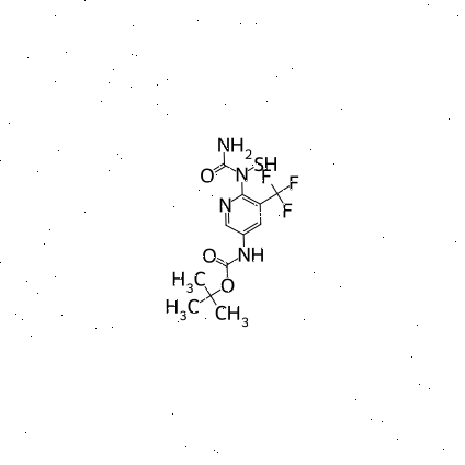 CC(C)(C)OC(=O)Nc1cnc(N(S)C(N)=O)c(C(F)(F)F)c1